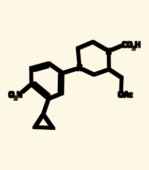 CC(=O)OCC1CN(c2ccc([N+](=O)[O-])c(C3CC3)c2)CCN1C(=O)O